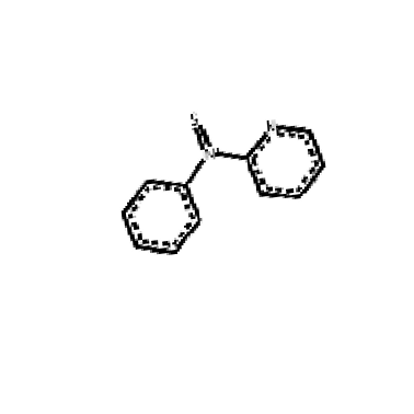 S=[N+](c1ccccc1)c1ccccn1